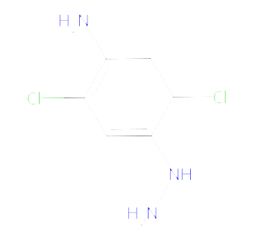 NNC1=CC(Cl)=C(N)CC1Cl